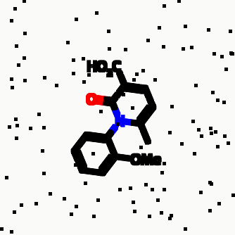 COc1ccccc1-n1c(C)ccc(C(=O)O)c1=O